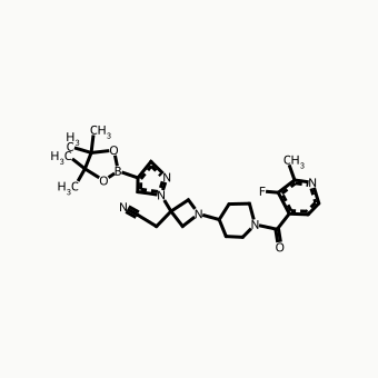 Cc1nccc(C(=O)N2CCC(N3CC(CC#N)(n4cc(B5OC(C)(C)C(C)(C)O5)cn4)C3)CC2)c1F